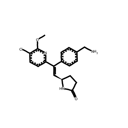 COc1nc(C(=C[C@H]2CCC(=O)N2)c2ccc(CN)cc2)ccc1Cl